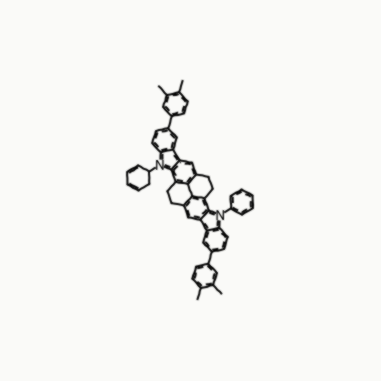 Cc1ccc(-c2ccc3c(c2)c2cc4c5c(c2n3-c2ccccc2)CCc2cc3c6cc(-c7ccc(C)c(C)c7)ccc6n(C6C=CC=CC6)c3c(c2-5)CC4)cc1C